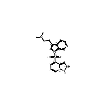 CN(C)CCc1cn(S(=O)(=O)C2=CC=CN3SNC=C23)c2cnccc12